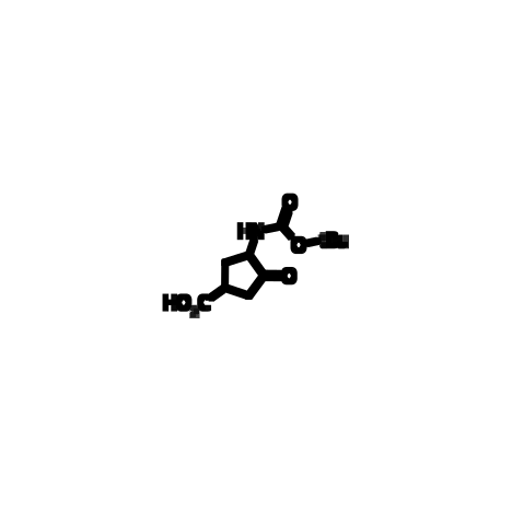 CC(C)(C)OC(=O)NC1CC(C(=O)O)CC1=O